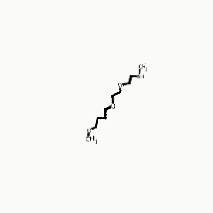 CNCCOCCOCCCCOC